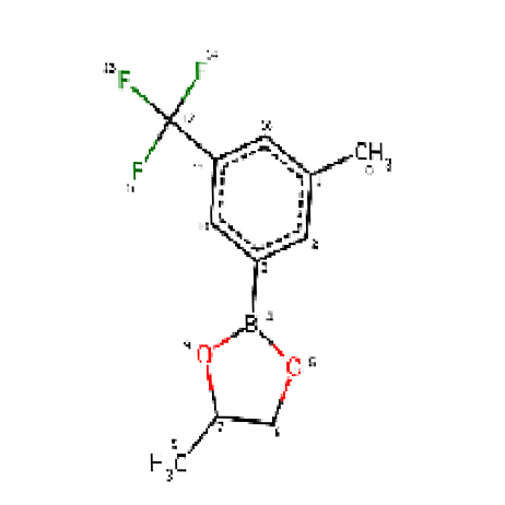 Cc1cc(B2OCC(C)O2)cc(C(F)(F)F)c1